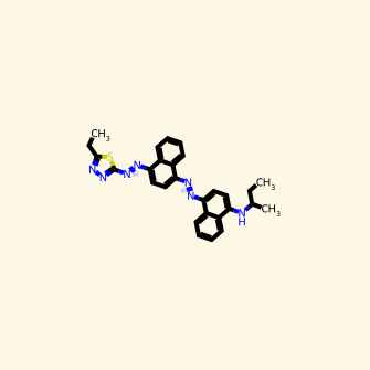 CCc1nnc(/N=N/c2ccc(/N=N/c3ccc(NC(C)CC)c4ccccc34)c3ccccc23)s1